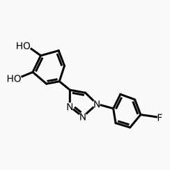 Oc1ccc(-c2cn(-c3ccc(F)cc3)nn2)cc1O